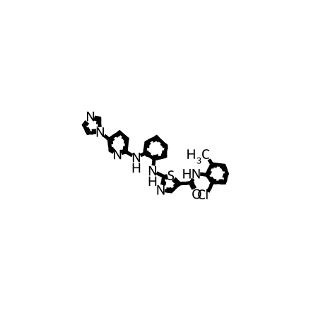 Cc1cccc(Cl)c1NC(=O)c1cnc(Nc2ccccc2Nc2ccc(-n3ccnc3)cn2)s1